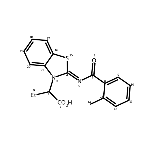 CCC(C(=O)O)n1c(=NC(=O)c2ccccc2C)sc2ccccc21